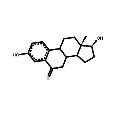 C[C@]12CCC3c4ccc(O)cc4C(=O)CC3C1CC[C@@H]2O